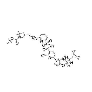 [2H]C([2H])(Oc1ccn(-c2ccc(C(=O)NS(=O)(=O)c3cccc(NCCC[C@@H]4CN(C(=O)OC(C)(C)C)C(C)(C)C4)n3)c(Cl)n2)n1)C([2H])([2H])C1C2(CC2)C12CC2